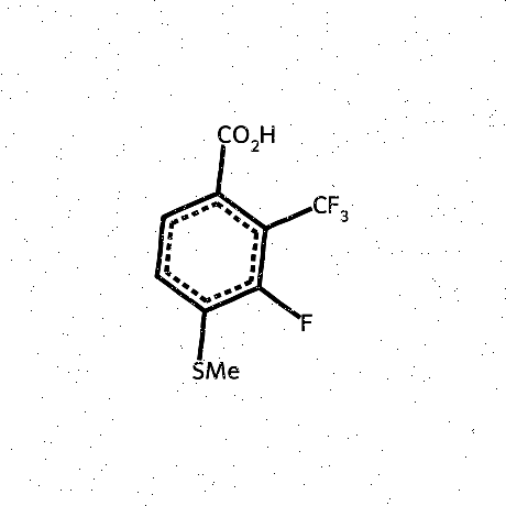 CSc1ccc(C(=O)O)c(C(F)(F)F)c1F